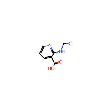 O=C(O)c1cccnc1NCCl